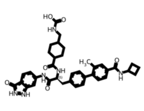 Cc1cc(C(=O)NC2CCC2)ccc1-c1ccc(C[C@H](NC(=O)C2CCC(CNC(=O)O)CC2)C(=O)Nc2ccc3c(=O)[nH][nH]c3c2)cc1